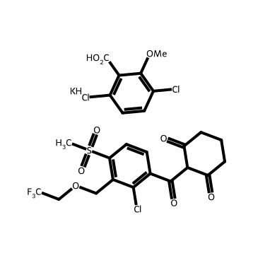 COc1c(Cl)ccc(Cl)c1C(=O)O.CS(=O)(=O)c1ccc(C(=O)C2C(=O)CCCC2=O)c(Cl)c1COCC(F)(F)F.[KH]